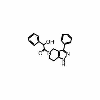 O=C(C(O)c1ccccc1)N1CCc2[nH]nc(-c3ccccc3)c2C1